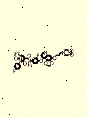 CC(C)n1cc(C(=O)Nc2ccc(Oc3ccnc4cc(OCCCN5CCS(=O)(=O)CC5)c5c(c34)OCCO5)c(F)c2)c(=O)n(-c2ccc(F)cc2)c1=O